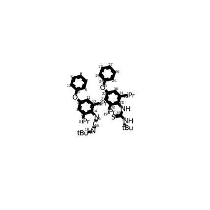 CC(C)c1cc(Oc2ccccc2)cc(C(C)C)c1N=C=NC(C)(C)C.CC(C)c1cc(Oc2ccccc2)cc(C(C)C)c1NC(=S)NC(C)(C)C